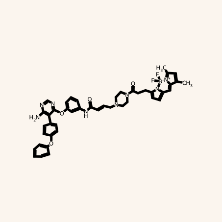 CC1=CC(C)=[N+]2C1=Cc1ccc(CCC(=O)N3CCN(CC=CC(=O)Nc4cccc(Oc5ncnc(N)c5-c5ccc(Oc6ccccc6)cc5)c4)CC3)n1[B-]2(F)F